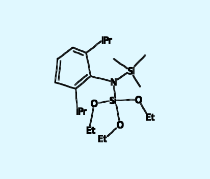 CCO[Si](OCC)(OCC)N(c1c(C(C)C)cccc1C(C)C)[Si](C)(C)C